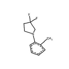 Cc1ccccc1N1CCC(F)(F)C1